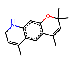 CC1=CCNc2cc3c(cc21)C(C)=CC(C)(C)O3